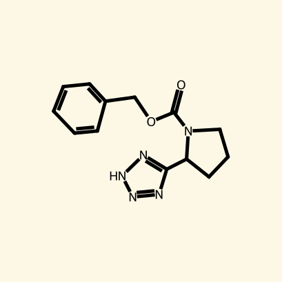 O=C(OCc1ccccc1)N1CCCC1c1nn[nH]n1